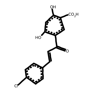 O=C(O)c1cc(C(=O)C=Cc2ccc(Cl)cc2)c(O)cc1O